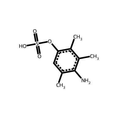 Cc1cc(OS(=O)(=O)O)c(C)c(C)c1N